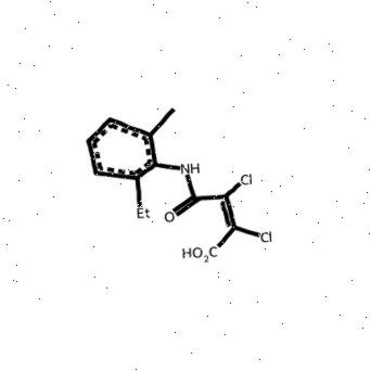 CCc1cccc(C)c1NC(=O)/C(Cl)=C(/Cl)C(=O)O